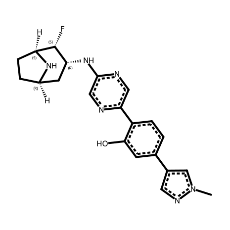 Cn1cc(-c2ccc(-c3cnc(N[C@@H]4C[C@H]5CC[C@H](N5)[C@@H]4F)cn3)c(O)c2)cn1